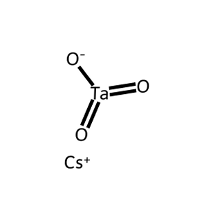 [Cs+].[O]=[Ta](=[O])[O-]